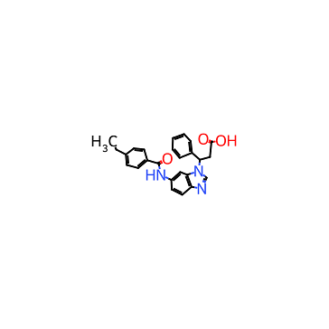 CCc1ccc(C(=O)Nc2ccc3ncn(C(CC(=O)O)c4ccccc4)c3c2)cc1